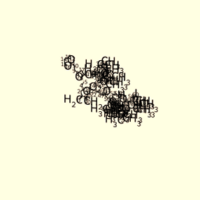 C=C1C[C@H](CC[C@@H]2O[C@@H](CCC3OCCCO3)CC2=C)O[C@H](C[C@@H]2O[C@H](CC(CO[Si](C)(C)C(C)(C)C)O[Si](C)(C)C(C)(C)C)C[C@H]2CC(=O)C[C@H]2CC[C@@H]3OC(C(/C=C/I)O[Si](C)(C)C(C)(C)C)C(O[Si](C)(C)C(C)(C)C)C(O[Si](C)(C)C(C)(C)C)[C@@H]3O2)C1=C